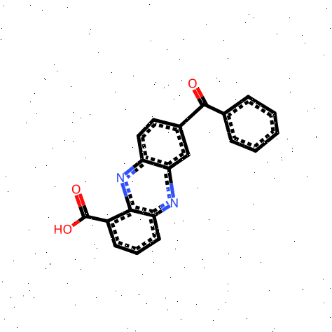 O=C(c1ccccc1)c1ccc2nc3c(C(=O)O)cccc3nc2c1